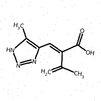 C=C(C)/C(=C\c1nn[nH]c1C)C(=O)O